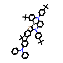 CC(C)(C)c1ccc(N2c3ccc(C(C)(C)C)cc3B3c4sc5cc6c(cc5c4N(c4ccc(C(C)(C)C)cc4)c4cccc2c43)-c2ccc(N(c3ccccc3)c3ccccc3)cc2C6(C)C)cc1